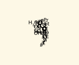 CCCN1CC2=C(C(=O)NC2c2cc(S(=O)(=O)N3CCN(CCCF)CC3)ccc2OCC)N(C)C1.O=S(=O)(O)O